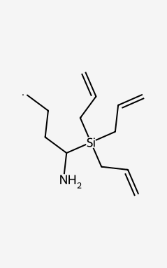 [CH2]CCC(N)[Si](CC=C)(CC=C)CC=C